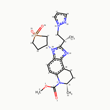 COC(=O)N1c2ccc3c(nc([C@@H](C)Cn4cccn4)n3[C@@H]3CCS(=O)(=O)C3)c2CC[C@@H]1C